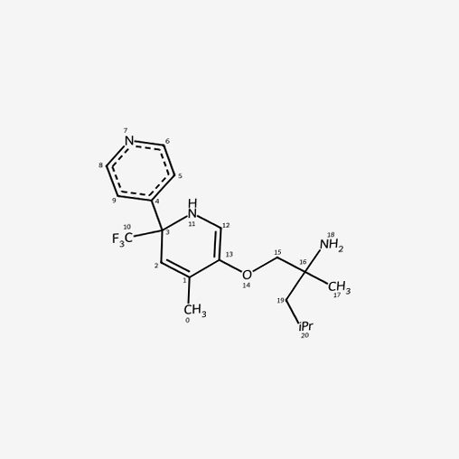 CC1=CC(c2ccncc2)(C(F)(F)F)NC=C1OCC(C)(N)CC(C)C